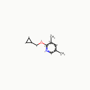 Cc1cnc(OCC2CC2)c(C)c1